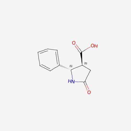 O=C1C[C@H](C(=O)O)[C@@H](c2ccccc2)N1